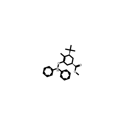 COC(=O)[C@H]1CC(O[SiH](c2ccccc2)c2ccccc2)=C(C)[C@@H](C(C)(C)C)C1